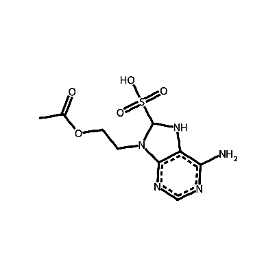 CC(=O)OCCN1c2ncnc(N)c2NC1S(=O)(=O)O